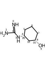 N=C(N)N[C@@H]1CCC[C@H](O)C1